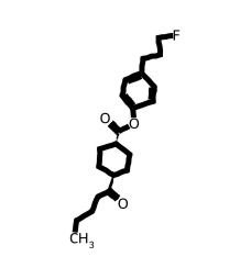 CCCCC(=O)[C@H]1CC[C@H](C(=O)Oc2ccc(CCCF)cc2)CC1